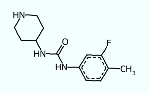 Cc1ccc(NC(=O)NC2CCNCC2)cc1F